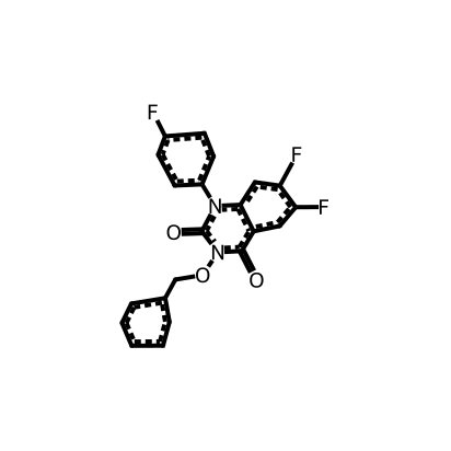 O=c1c2cc(F)c(F)cc2n(-c2ccc(F)cc2)c(=O)n1OCc1ccccc1